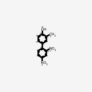 Cc1cc(-c2ccc([N+](=O)[O-])cc2[N+](=O)[O-])ccc1O